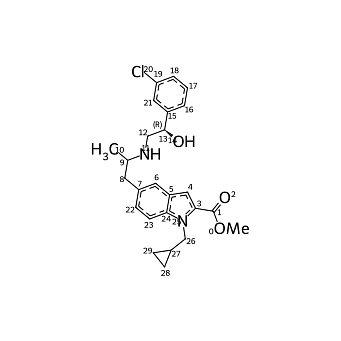 COC(=O)c1cc2cc(CC(C)NC[C@H](O)c3cccc(Cl)c3)ccc2n1CC1CC1